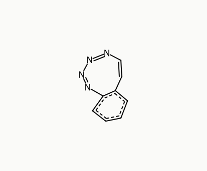 C1=Cc2ccccc2N=NN=N1